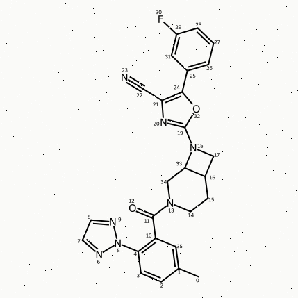 Cc1ccc(-n2nccn2)c(C(=O)N2CCC3CN(c4nc(C#N)c(-c5cccc(F)c5)o4)C3C2)c1